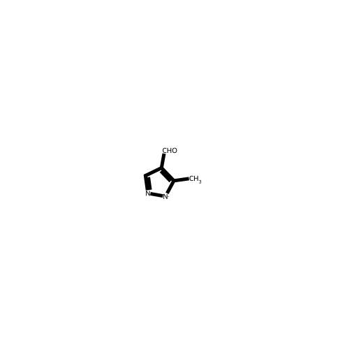 CC1=C(C=O)C=N[N]1